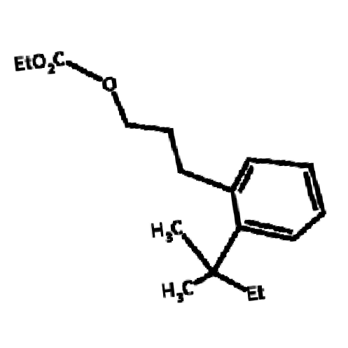 CCOC(=O)OCCCc1ccccc1C(C)(C)CC